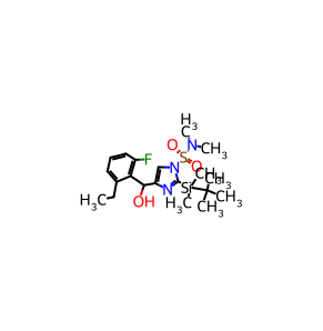 CCc1cccc(F)c1C(O)c1cn(S(=O)(=O)N(C)C)c([Si](C)(C)C(C)(C)C)n1